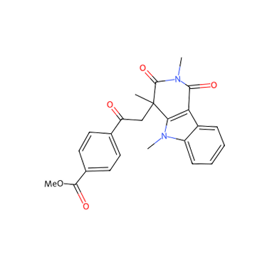 COC(=O)c1ccc(C(=O)CC2(C)C(=O)N(C)C(=O)c3c2n(C)c2ccccc32)cc1